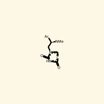 CN[C@@H](Cn1ccc(=O)[nH]c1=O)C(C)=O